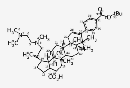 C=C(CN(C)CCN(C)C)[C@@H]1CC[C@]2(C(=O)O)CC[C@]3(C)[C@H](CC[C@@H]4[C@@]5(C)CC=C(c6ccc(C(=O)OC(C)(C)C)cc6)C(C)(C)[C@@H]5CC[C@]43C)[C@@H]12